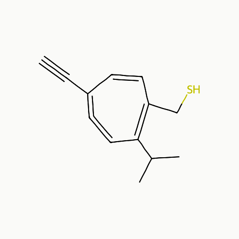 C#CC1=C=CC(C(C)C)=C(CS)C=C1